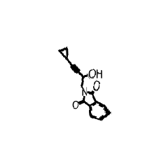 O=C1c2ccccc2C(=O)N1CC(O)C#CC1CC1